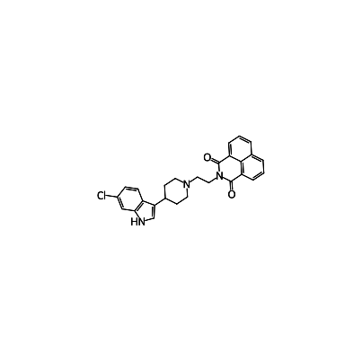 O=C1c2cccc3cccc(c23)C(=O)N1CCN1CCC(c2c[nH]c3cc(Cl)ccc23)CC1